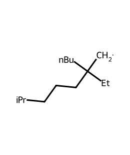 [CH2]C(CC)(CCCC)CCCC(C)C